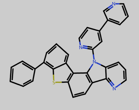 c1ccc(-c2cccc3c2sc2ccc4c5ncccc5n(-c5cc(-c6cccnc6)ccn5)c4c23)cc1